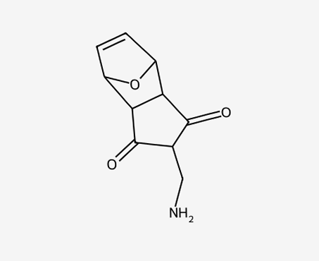 NCC1C(=O)C2C3C=CC(O3)C2C1=O